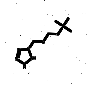 C[Si](C)(C)CCOCN1N=NNN1